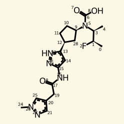 C[C@@H](F)[C@H](C)N(C(=O)O)[C@@H]1CC[C@H](c2cc(NC(=O)Cc3cnn(C)c3)n[nH]2)C1